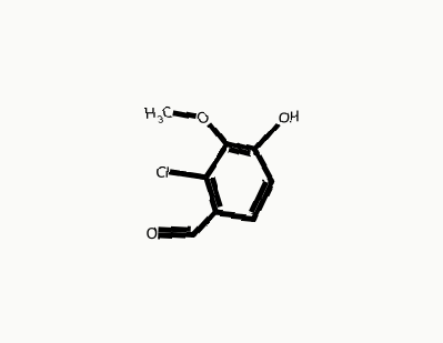 COc1c(O)ccc(C=O)c1Cl